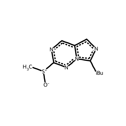 CCC(C)c1ncc2cnc([S+](C)[O-])nn12